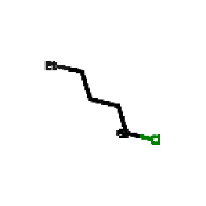 CCCCC[Si]Cl